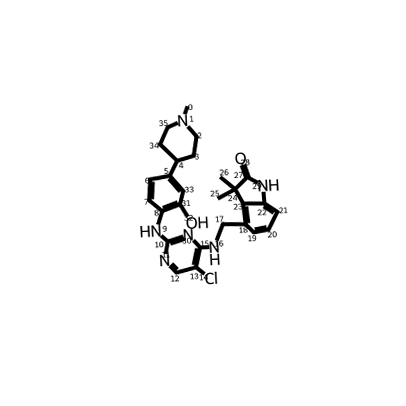 CN1CCC(c2ccc(Nc3ncc(Cl)c(NCc4cccc5c4C(C)(C)C(=O)N5)n3)c(O)c2)CC1